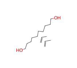 C=CC.C=CC.OCCCCCCCCCCO